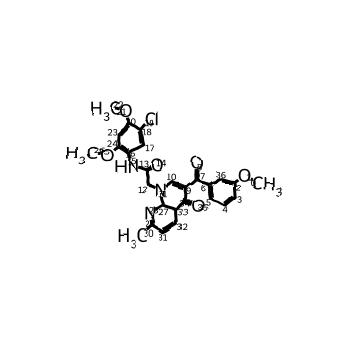 COc1cccc(C(=O)C2=CN(CC(=O)Nc3cc(Cl)c(OC)cc3OC)C3N=C(C)C=CC3C2=O)c1